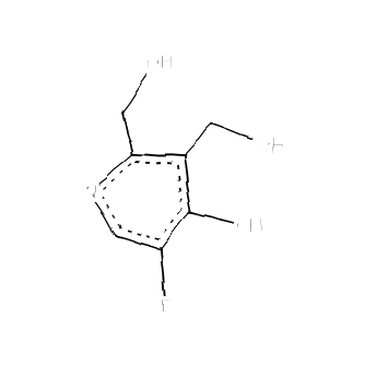 Cc1c(F)cnc(CO)c1CO